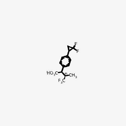 C[C@H](C(C(=O)O)c1ccc(C2CC2(F)F)cc1)C(F)(F)F